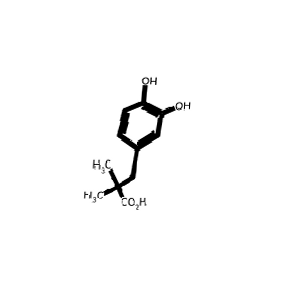 CC(C)(Cc1ccc(O)c(O)c1)C(=O)O